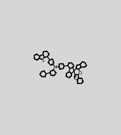 c1ccc(-c2cccc(N(c3ccc(-c4cccc5c4-c4ccccc4C54c5ccc6ccccc6c5Oc5c4ccc4ccccc54)cc3)c3ccc(-c4cccc5c4sc4ccccc45)cc3)c2)cc1